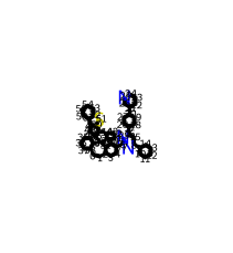 C1=Cc2ccc(-c3nc(-c4ccccc4)cc(-c4ccc(-c5cccnc5)cc4)n3)cc2C2(c3ccccc31)c1ccccc1-c1c2ccc2c1sc1ccccc12